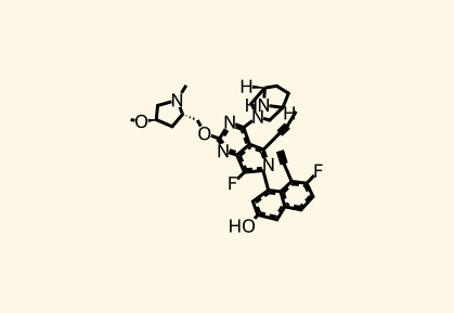 C#Cc1c(F)ccc2cc(O)cc(-c3nc(C#CC)c4c(N5C[C@H]6CC[C@@H](C5)N6)nc(OC[C@@H]5C[C@@H](OC)CN5C)nc4c3F)c12